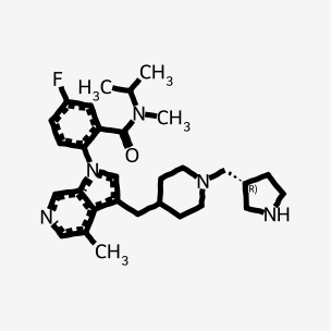 Cc1cncc2c1c(CC1CCN(C[C@@H]3CCNC3)CC1)cn2-c1ccc(F)cc1C(=O)N(C)C(C)C